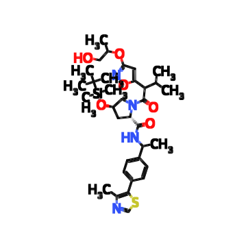 Cc1ncsc1-c1ccc(C(C)NC(=O)[C@@H]2C[C@@H](O[Si](C)(C)C(C)(C)C)CN2C(=O)C(c2cc(OC(C)CO)no2)C(C)C)cc1